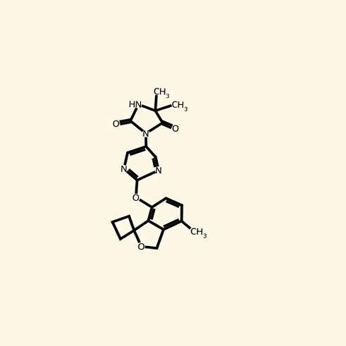 Cc1ccc(Oc2ncc(N3C(=O)NC(C)(C)C3=O)cn2)c2c1COC21CCC1